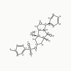 Cc1ccc(S(=O)(=O)OC2C[C@@H]3[C@H]4CO[C@@H](c5ccccc5)N4C(=O)[C@@H]3C2)cc1